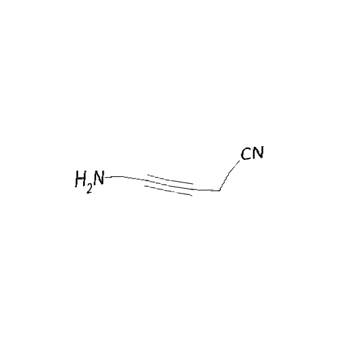 N#CCC#CN